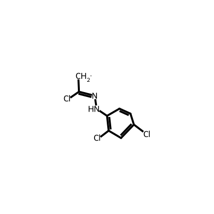 [CH2]C(Cl)=NNc1ccc(Cl)cc1Cl